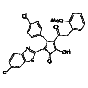 COc1ccccc1CC(=O)C1=C(O)C(=O)N(c2nc3ccc(Cl)cc3s2)C1c1ccc(Cl)cc1